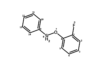 Fc1ccccc1O[SiH2]c1ccccc1